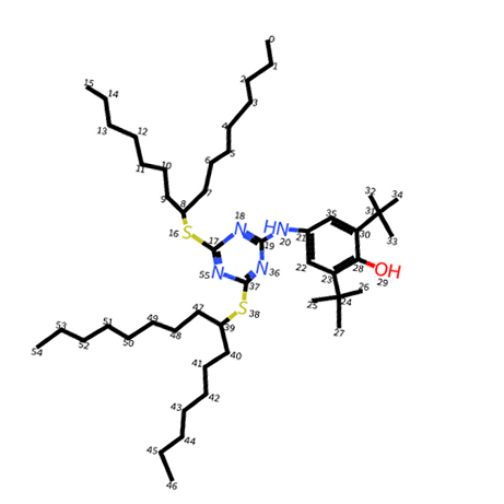 CCCCCCCCC(CCCCCCC)Sc1nc(Nc2cc(C(C)(C)C)c(O)c(C(C)(C)C)c2)nc(SC(CCCCCCC)CCCCCCCC)n1